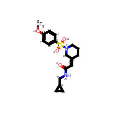 O=C(/C=C1/CCCN(S(=O)(=O)c2ccc(OC(F)(F)F)cc2)C1)NCC1CC1